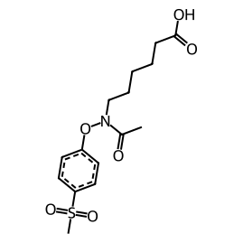 CC(=O)N(CCCCCC(=O)O)Oc1ccc(S(C)(=O)=O)cc1